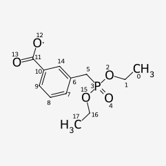 CCOP(=O)(Cc1cccc(C([O])=O)c1)OCC